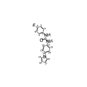 O=C(Nc1ccc(F)cc1)Nc1ccc(-n2cccc2)cc1